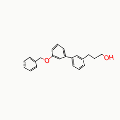 OCCCc1cccc(-c2cccc(OCc3ccccc3)c2)c1